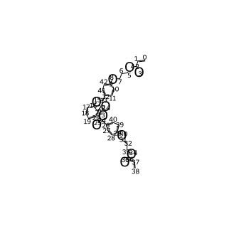 C=CC(=O)OCCCOc1ccc(C(=O)OC2C=CC=CC2(C)OC(=O)c2ccc(OCCCOC(=O)C=C)cc2)cc1